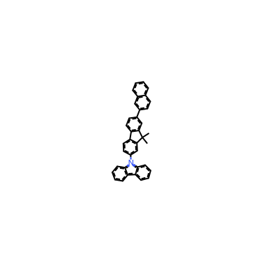 CC1(C)c2cc(-c3ccc4ccccc4c3)ccc2-c2ccc(-n3c4ccccc4c4ccccc43)cc21